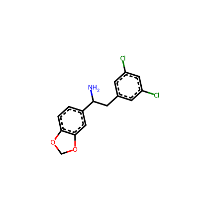 NC(Cc1cc(Cl)cc(Cl)c1)c1ccc2c(c1)OCO2